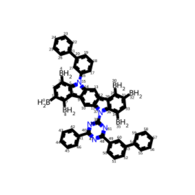 Bc1cc(B)c2c(c1B)c1cc3c(cc1n2-c1cccc(-c2ccccc2)c1)c1c(B)c(B)cc(B)c1n3-c1nc(-c2ccccc2)nc(-c2cccc(-c3ccccc3)c2)n1